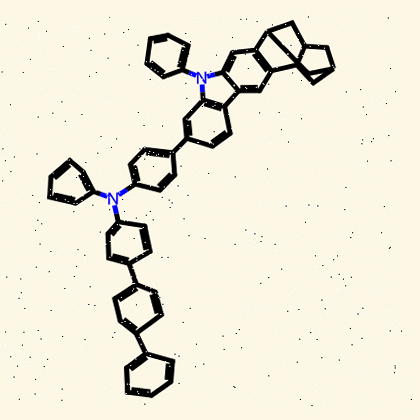 c1ccc(-c2ccc(-c3ccc(N(c4ccccc4)c4ccc(-c5ccc6c7cc8c(cc7n(-c7ccccc7)c6c5)C5CC6CC(C5)C8C6)cc4)cc3)cc2)cc1